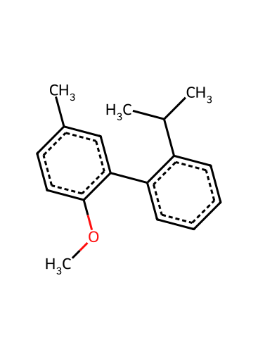 COc1ccc(C)cc1-c1ccccc1C(C)C